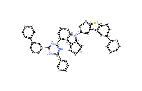 c1ccc(-c2cccc(-c3nc(-c4ccccc4)nc(-c4cccc5c4c4ccccc4n5-c4ccc5sc6ccc(-c7ccccc7)cc6c5c4)n3)c2)cc1